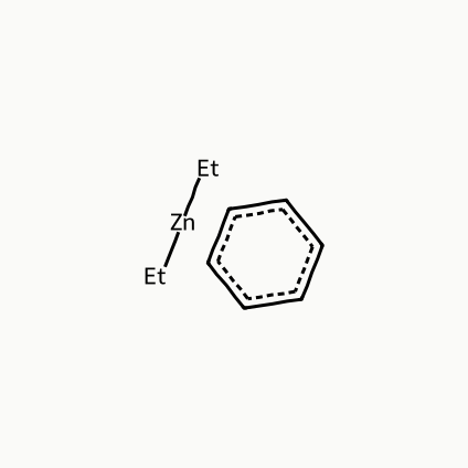 C[CH2][Zn][CH2]C.c1ccccc1